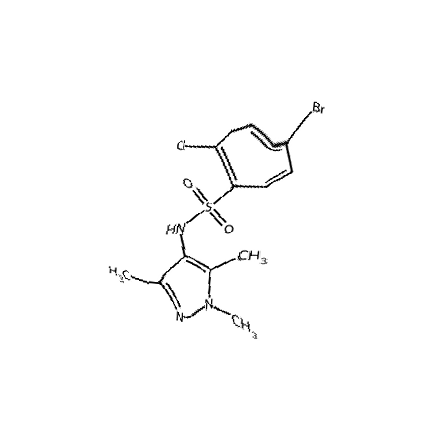 Cc1nn(C)c(C)c1NS(=O)(=O)c1ccc(Br)cc1Cl